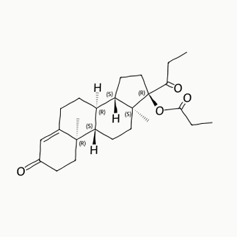 CCC(=O)O[C@]1(C(=O)CC)CC[C@H]2[C@@H]3CCC4=CC(=O)CC[C@]4(C)[C@H]3CC[C@@]21C